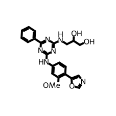 COc1cc(Nc2nc(NCC(O)CO)nc(-c3ccccc3)n2)ccc1-c1cnco1